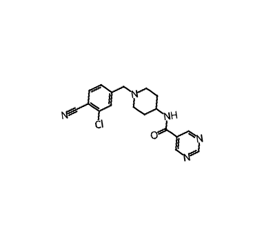 N#Cc1ccc(CN2CCC(NC(=O)c3cncnc3)CC2)cc1Cl